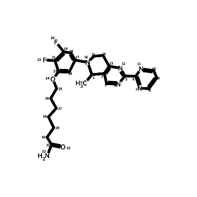 CC1c2cnc(-c3ncccn3)nc2CCN1c1cc(F)c(F)c(OCCCCCCC(N)=O)c1